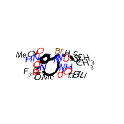 COC(=O)Nc1ccc2c(c1)N(C(=O)C(F)(F)F)[C@@H](C(=O)OC)CCCC[C@H](NC(=O)OC(C)(C)C)c1nc-2c(Br)n1COCC[Si](C)(C)C